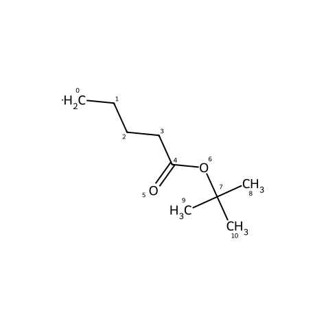 [CH2]CCCC(=O)OC(C)(C)C